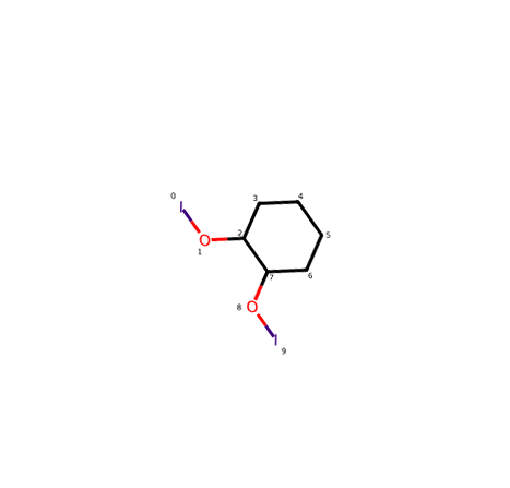 IOC1CCCCC1OI